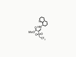 COC(=O)/C(=C\Nc1cccc2cccnc12)S(=O)(=O)CC(F)(F)F